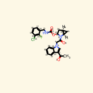 CC(=O)c1cn(CC(=O)N2[C@@H](OC(=O)NCc3cccc(Cl)c3F)C[C@H]3C[C@H]32)c2ccccc12